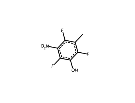 Cc1c(F)c(O)c(F)c([N+](=O)[O-])c1F